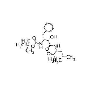 CC(C)C[C@H](NC(=O)[C@@H](O)[C@@H](Cc1ccccc1)NC(=O)OC(C)(C)C)C(N)=O